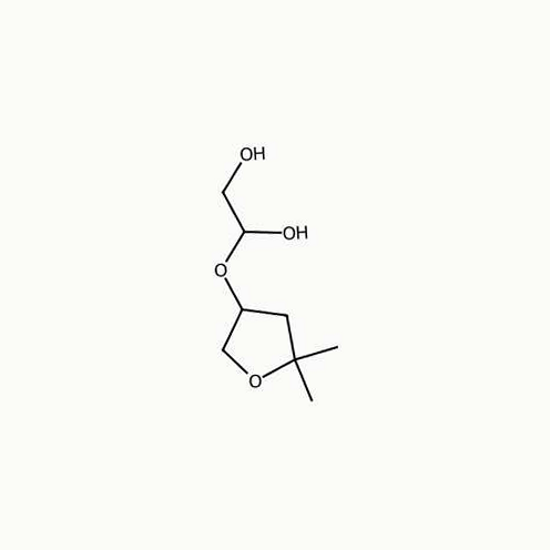 CC1(C)CC(OC(O)CO)CO1